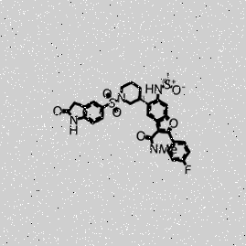 CNC(=O)c1c(-c2ccc(F)cc2)oc2cc(N[S@+](C)[O-])c([C@@H]3CCCN(S(=O)(=O)c4ccc5c(c4)CC(=O)N5)C3)cc12